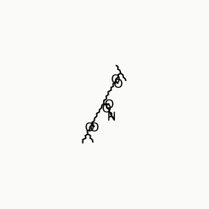 CCCCC(CCCC)CCOC(=O)CCCCCCCCCC(CCCCCCCCCC(=O)OCCC(CCCC)CCCC)C(=O)OCCCN(C)C